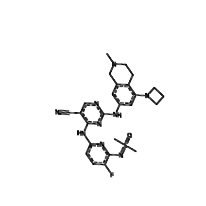 CN1CCc2c(cc(Nc3ncc(C#N)c(Nc4ccc(F)c(N=S(C)(C)=O)n4)n3)cc2N2CCC2)C1